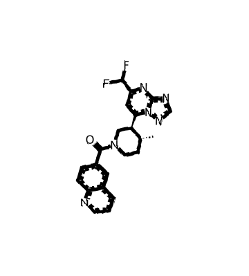 C[C@@H]1CCN(C(=O)c2ccc3ncccc3c2)C[C@H]1c1cc(C(F)F)nc2ncnn12